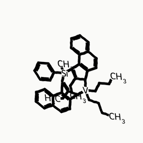 CCC[CH2][V]1([CH2]CCC)[CH]2C(CC)=C(c3c2ccc2ccccc32)[Si](C)(c2ccccc2)C2=C(CC)[CH]1c1ccc3ccccc3c12